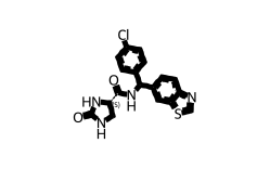 O=C1NC[C@@H](C(=O)NC(c2ccc(Cl)cc2)c2ccc3ncsc3c2)N1